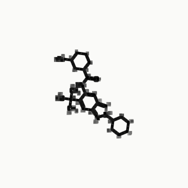 CCCCC1CCCC(C(=O)Nc2cc3cn(C4CCCCC4)nc3cc2C(C)(C)O)C1